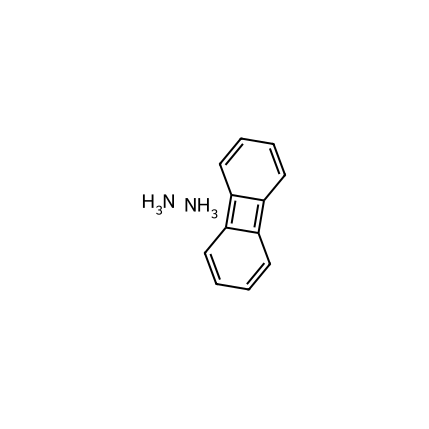 N.N.c1ccc2c(c1)=c1ccccc1=2